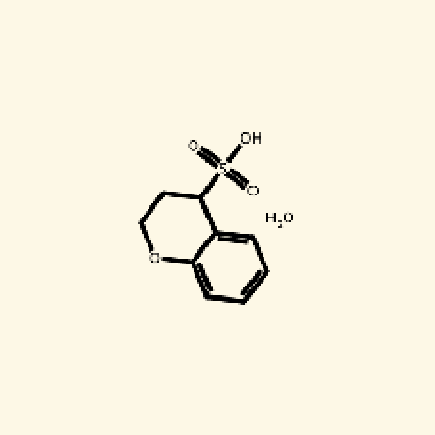 O.O=S(=O)(O)C1CCOc2ccccc21